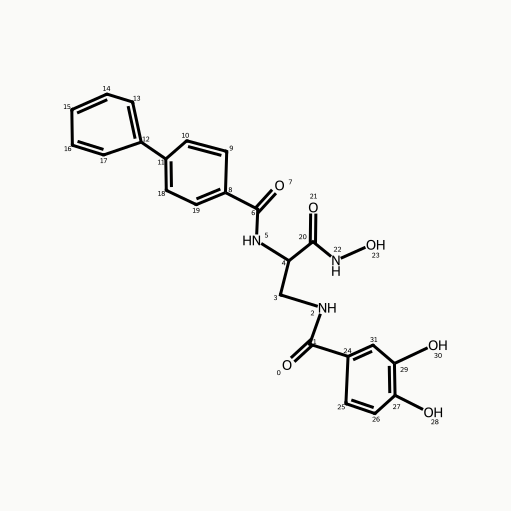 O=C(NCC(NC(=O)c1ccc(-c2ccccc2)cc1)C(=O)NO)c1ccc(O)c(O)c1